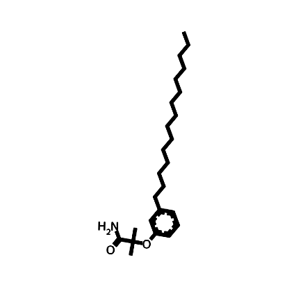 CCCCCCCCCCCCCCCc1cccc(OC(C)(C)C(N)=O)c1